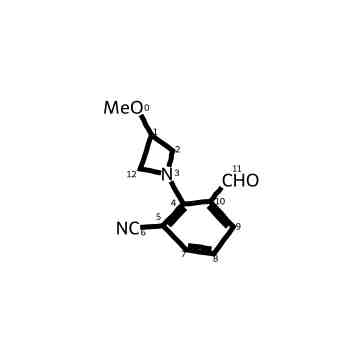 COC1CN(c2c(C#N)cccc2C=O)C1